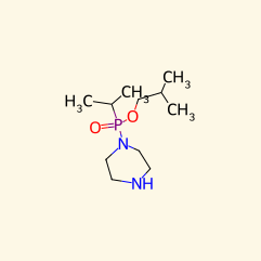 CC(C)COP(=O)(C(C)C)N1CCNCC1